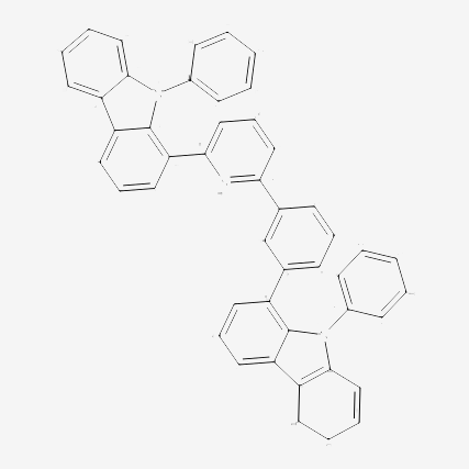 C1=Cc2c(c3cccc(-c4cccc(-c5cccc(-c6cccc7c8ccccc8n(-c8ccccc8)c67)n5)c4)c3n2-c2ccccc2)CC1